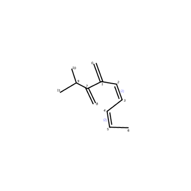 C=C(/C=C\C=C/C)C(=C)C(C)C